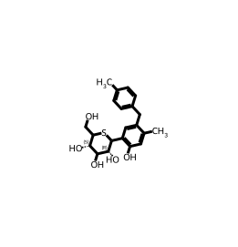 Cc1ccc(Cc2cc(C3SC(CO)[C@@H](O)C(O)[C@H]3O)c(O)cc2C)cc1